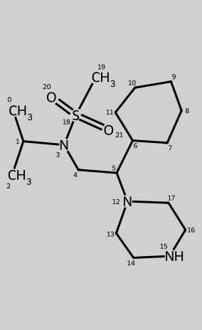 CC(C)N(CC(C1CCCCC1)N1CCNCC1)S(C)(=O)=O